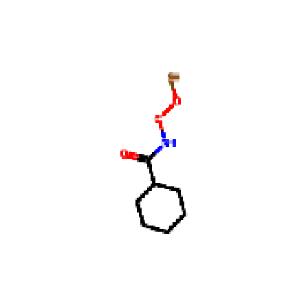 O=C(NOOS)C1CCCCC1